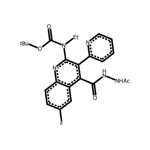 CCN(C(=O)OC(C)(C)C)c1nc2ccc(F)cc2c(C(=O)NNC(C)=O)c1-c1ccccn1